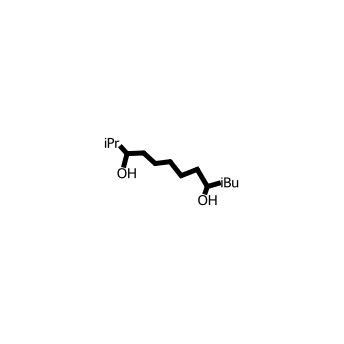 CCC(C)C(O)CCCCCC(O)C(C)C